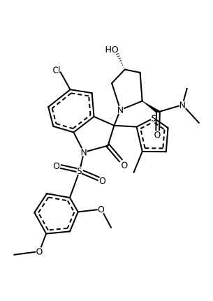 COc1ccc(S(=O)(=O)N2C(=O)C(c3sccc3C)(N3C[C@H](O)C[C@H]3C(=O)N(C)C)c3cc(Cl)ccc32)c(OC)c1